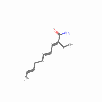 CCC/C=C/CC/C=C/C=C(\CC(C)C)C(N)=O